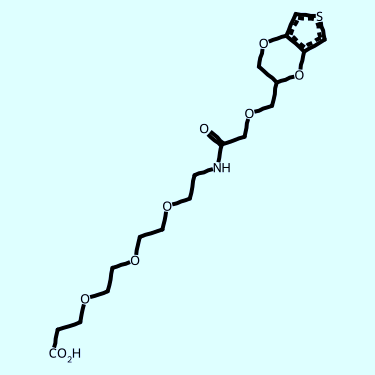 O=C(O)CCOCCOCCOCCNC(=O)COCC1COc2cscc2O1